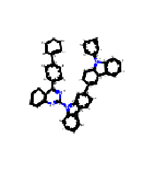 C1=CCC2C(=C1)N=C(n1c3ccccc3c3ccc(C4=CC5c6ccccc6N(c6ccccc6)C5C=C4)cc31)N=C2c1ccc(C2=CCCC=C2)cc1